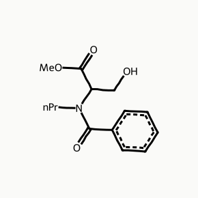 CCCN(C(=O)c1ccccc1)C(CO)C(=O)OC